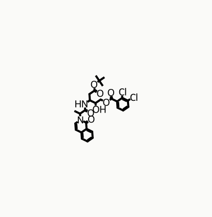 CC(C(=O)NC(CC(=O)OC(C)(C)C)C(O)COC(=O)c1cccc(Cl)c1Cl)n1ccc2ccccc2c1=O